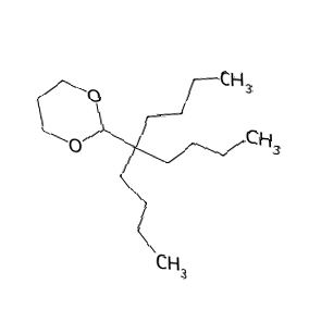 CCCCC(CCCC)(CCCC)C1OCCCO1